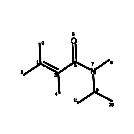 CC(C)=C(C)C(=O)N(C)C(C)C